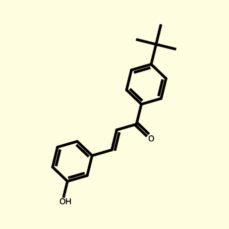 CC(C)(C)c1ccc(C(=O)/C=C/c2cccc(O)c2)cc1